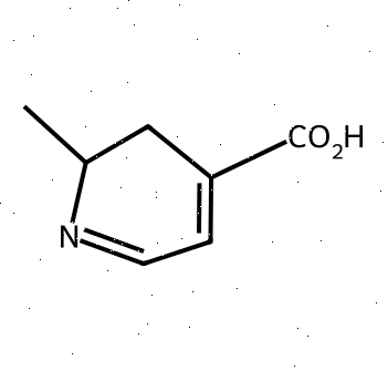 CC1CC(C(=O)O)=CC=N1